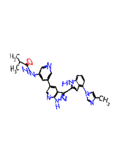 Cc1cn(-c2cccc3[nH]c(-c4n[nH]c5ncc(-c6cncc(NC(=O)C(C)C)c6)cc45)cc23)cn1